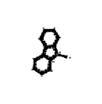 Fn1c2ccccc2c2ccccc21